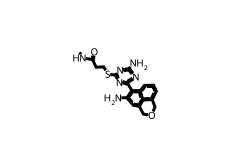 CNC(=O)CCSc1nc(N)nc(-c2c(N)cc3c4c(cccc24)COC3)n1